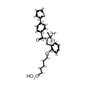 [2H]C(C)(CC)N(Cc1ccccc1OCCCCCC(=O)O)C(=O)c1ccc(-c2cccs2)cc1